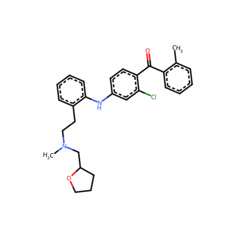 Cc1ccccc1C(=O)c1ccc(Nc2ccccc2CCN(C)CC2CCCO2)cc1Cl